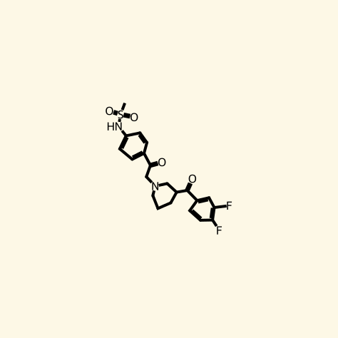 CS(=O)(=O)Nc1ccc(C(=O)CN2CCCC(C(=O)c3ccc(F)c(F)c3)C2)cc1